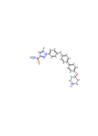 Cc1nc(C(N)=O)nn1-c1ccc(Cc2ccc(-c3ccc(OC4CCN(C)CC4)cc3)cc2)cc1